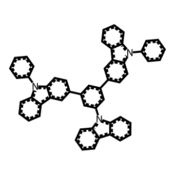 c1ccc(-n2c3ccccc3c3cc(-c4cc(-c5ccc6c(c5)c5ccccc5n6-c5ccccc5)cc(-n5c6ccccc6c6ccccc65)c4)ccc32)cc1